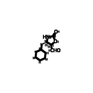 O=C[C@@H]1OC(=O)N[C@H]1CC1CCCCC1